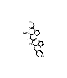 C/C=C(\C=C/CC)C[C@H](NC(=O)[C@H](C)[C@@H](OC)[C@@H]1CCCN1C(=O)OC(C)(C)C)c1nccs1